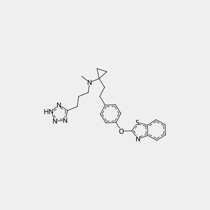 CN(CCCc1nn[nH]n1)C1(CCc2ccc(Oc3nc4ccccc4s3)cc2)CC1